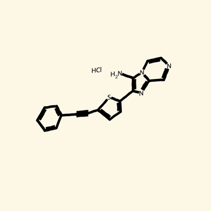 Cl.Nc1c(-c2ccc(C#Cc3ccccc3)s2)nc2cnccn12